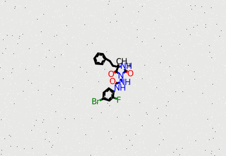 CC1(CCc2ccccc2)NC(=O)N(NC(=O)Nc2ccc(Br)cc2F)C1=O